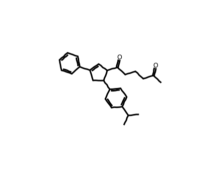 CC(=O)CCCC(=O)C1C=C(c2ccccc2)CC1c1ccc(C(C)C)cc1